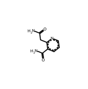 NC(=O)Cc1ncccc1C(N)=O